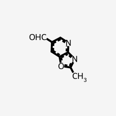 Cc1nc2ncc(C=O)cc2o1